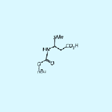 CCCCOC(=O)NC(CC(=O)O)SC